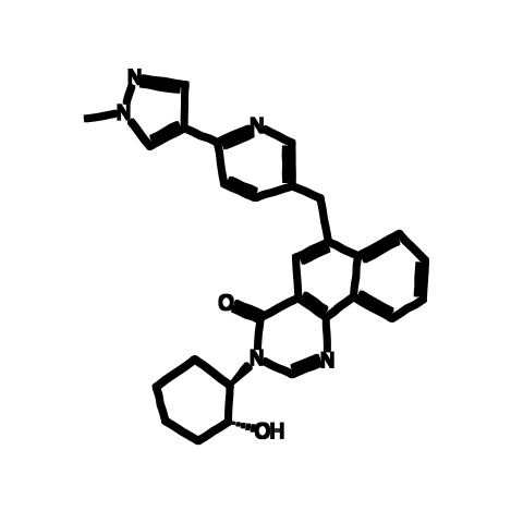 Cn1cc(-c2ccc(Cc3cc4c(=O)n([C@@H]5CCCC[C@H]5O)cnc4c4ccccc34)cn2)cn1